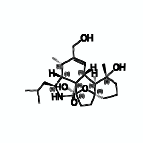 CC(C)C[C@@H]1NC(=O)[C@]23[C@H]1[C@H](C)C(CO)=C[C@@H]2[C@@H]1[C@@]2(CCC[C@@]1(C)O)CC[C@]3(O)O2